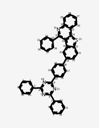 c1ccc(-c2nc(-c3ccccc3)nc(-c3ccc(-c4ccc5sc6c7ccccc7nc(-c7ccccc7)c6c5c4)cc3)n2)cc1